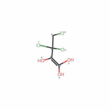 OC(O)=C(O)C(Cl)(Cl)CCl